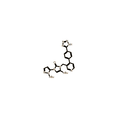 CCCCc1cn(-c2ccnn2CCCC)c(=O)n1Cc1cnccc1-c1ccc(-c2nnn[nH]2)cc1